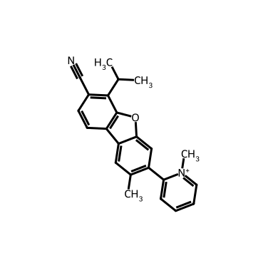 Cc1cc2c(cc1-c1cccc[n+]1C)oc1c(C(C)C)c(C#N)ccc12